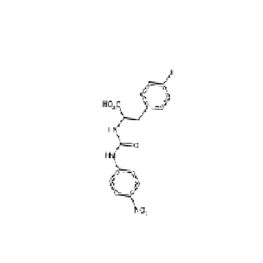 O=C(Nc1ccc([N+](=O)[O-])cc1)NC(Cc1ccc(I)cc1)C(=O)O